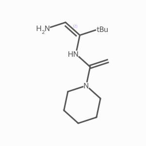 C=C(N/C(=C\N)C(C)(C)C)N1CCCCC1